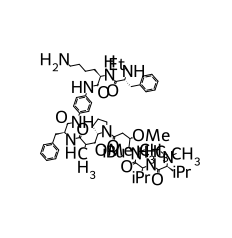 CCN[C@H](Cc1ccccc1)C(=O)N[C@H](CCCCN)C(=O)Nc1ccc(NC(=O)[C@H](Cc2ccccc2)NC(=O)[C@H](C)[C@@H](OC)[C@@H]2CCCN2C(=O)C[C@@H](OC)[C@H]([C@@H](C)CC)N(C)C(=O)[C@@H](NC(=O)[C@H](C(C)C)N(C)C)C(C)C)cc1